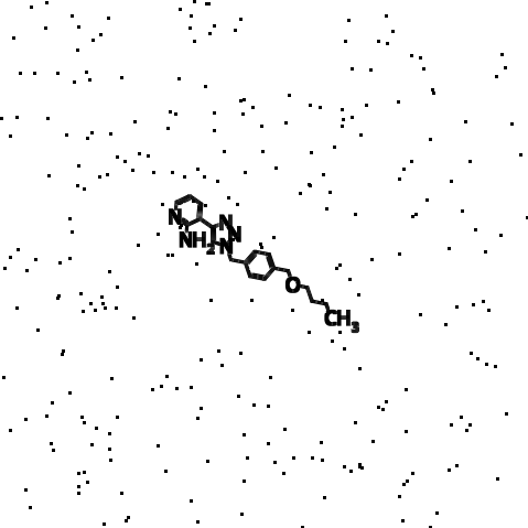 CCCCOCc1ccc(Cn2cc(-c3cccnc3N)nn2)cc1